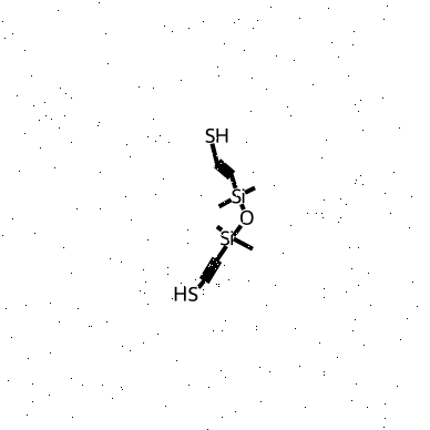 C[Si](C)(C#CS)O[Si](C)(C)C#CS